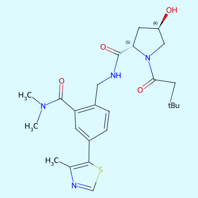 Cc1ncsc1-c1ccc(CNC(=O)[C@@H]2C[C@@H](O)CN2C(=O)CC(C)(C)C)c(C(=O)N(C)C)c1